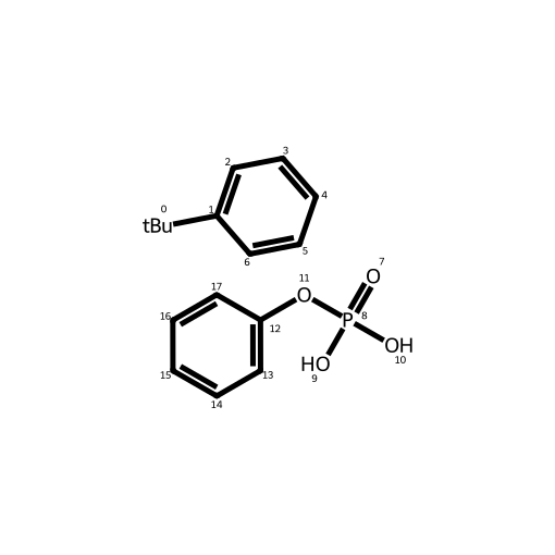 CC(C)(C)c1ccccc1.O=P(O)(O)Oc1ccccc1